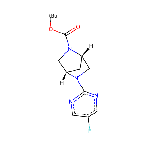 CC(C)(C)OC(=O)N1C[C@@H]2C[C@H]1CN2c1ncc(F)cn1